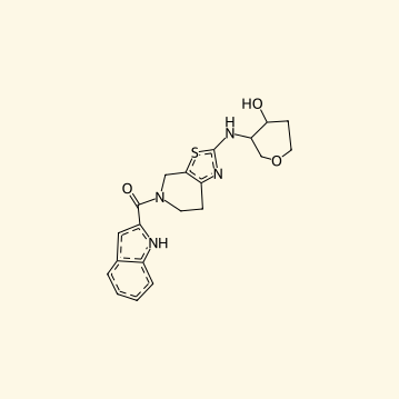 O=C(c1cc2ccccc2[nH]1)N1CCc2nc(NC3COCCC3O)sc2C1